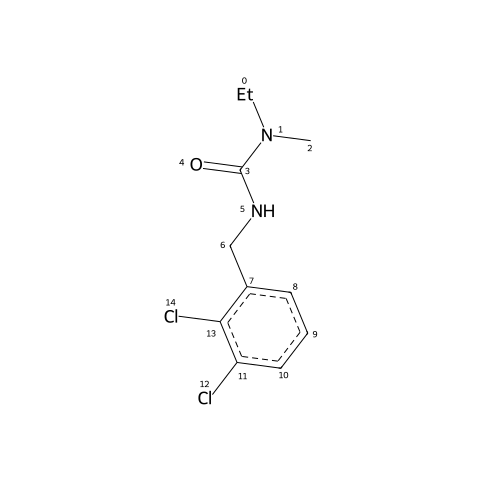 [CH2]CN(C)C(=O)NCc1cccc(Cl)c1Cl